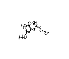 COCOS[PH](=S)SC(CC(=O)O)C(=O)O